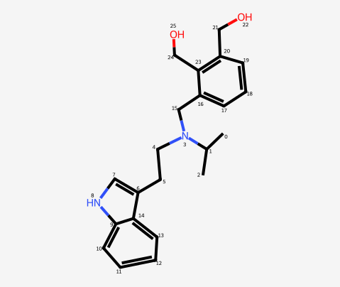 CC(C)N(CCc1c[nH]c2ccccc12)Cc1cccc(CO)c1CO